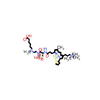 CC1=CC(CCC(=O)N[C@@H](CS(=O)(=O)O)C(=O)NCCN(C)CCCCCC(=O)O)=[N+]2C1=Cc1c(CCC[N+](C)(C)C)cc(-c3cccs3)n1[B-]2(F)F